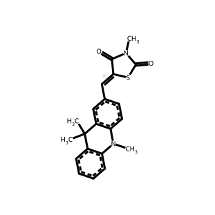 CN1C(=O)S/C(=C\c2ccc3c(c2)C(C)(C)c2ccccc2N3C)C1=O